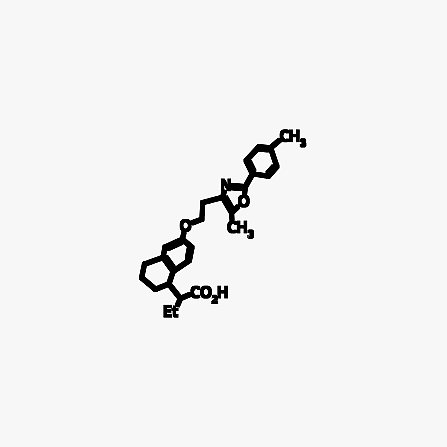 CCC(C(=O)O)C1CCCc2cc(OCCc3nc(-c4ccc(C)cc4)oc3C)ccc21